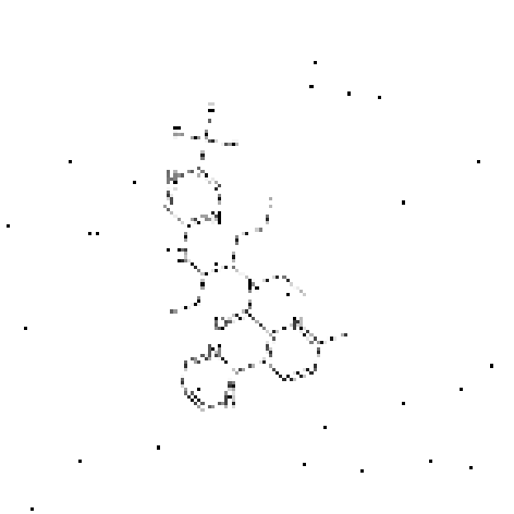 CCCC(C(CC)Oc1cnc(C(F)(F)F)cn1)N(CC)C(=O)c1nc(C)ccc1-c1ncccn1